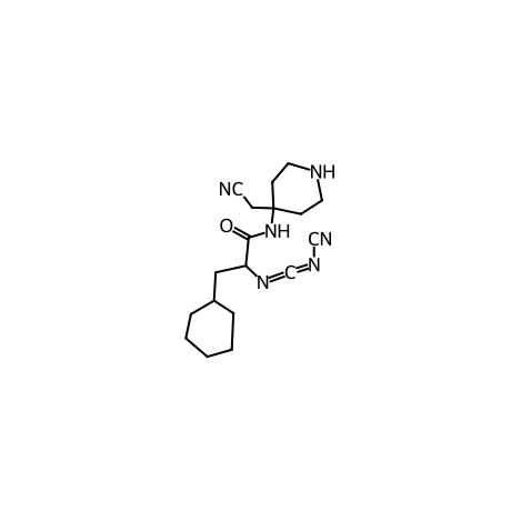 N#CCC1(NC(=O)C(CC2CCCCC2)N=C=NC#N)CCNCC1